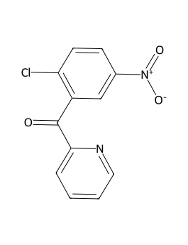 O=C(c1ccccn1)c1cc([N+](=O)[O-])ccc1Cl